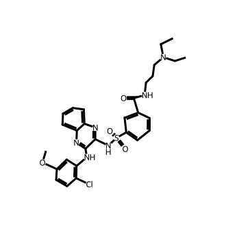 CCN(CC)CCCNC(=O)c1cccc(S(=O)(=O)Nc2nc3ccccc3nc2Nc2cc(OC)ccc2Cl)c1